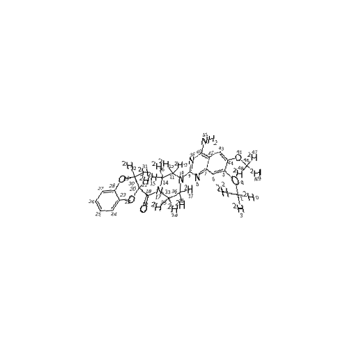 [2H]C([2H])([2H])Oc1cc2nc(N3C([2H])([2H])C([2H])([2H])N(C(=O)C4([2H])Oc5ccccc5OC4([2H])[2H])C([2H])([2H])C3([2H])[2H])nc(N)c2cc1OC([2H])([2H])[2H]